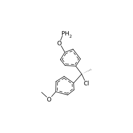 COc1ccc([C@](C)(Cl)c2ccc(OP)cc2)cc1